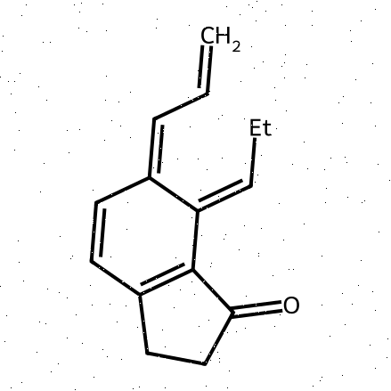 C=C/C=c1/ccc2c(/c1=C/CC)C(=O)CC2